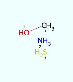 CO.N.S